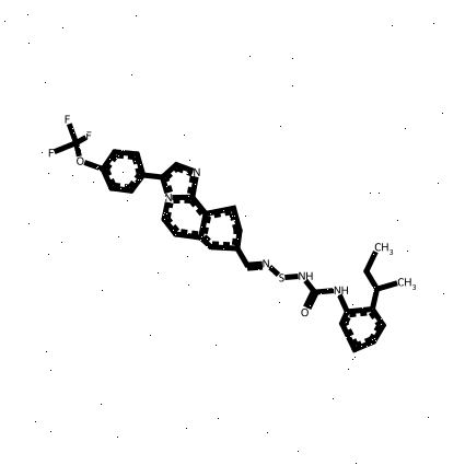 CCC(C)c1ccccc1NC(=O)NS/N=C/c1ccc2c(ccn3c(-c4ccc(OC(F)(F)F)cc4)cnc23)c1